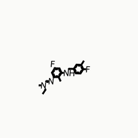 CCN(C)/C=N/c1cc(F)cc(NCc2ccc(F)c(C)c2)c1C